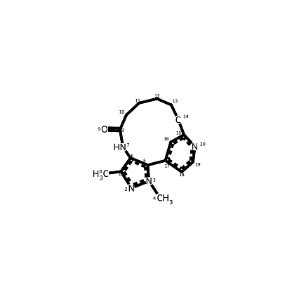 Cc1nn(C)c2c1NC(=O)CCCCCc1cc-2ccn1